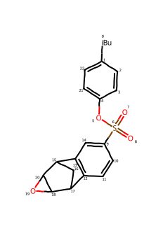 CCC(C)c1ccc(OS(=O)(=O)c2ccc3c(c2)C2CC3C3OC23)cc1